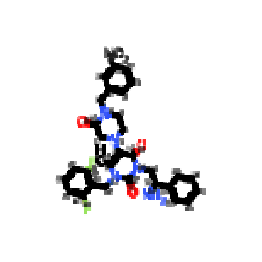 Cc1c(N2CCN(Cc3cccc([N+](=O)[O-])c3)C(=O)C2)c(=O)n(CC(N)c2ccccc2)c(=O)n1Cc1c(F)cccc1F